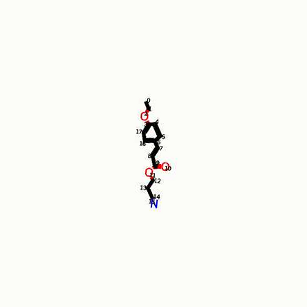 CCOc1ccc(/C=C/C(=O)OCCC#N)cc1